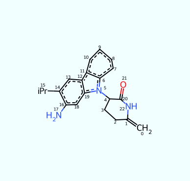 C=C1CCC(n2c3ccccc3c3cc(C(C)C)c(N)cc32)C(=O)N1